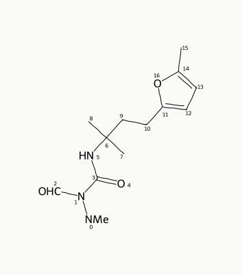 CNN(C=O)C(=O)NC(C)(C)CCc1ccc(C)o1